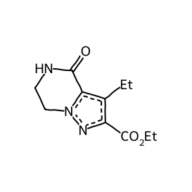 CCOC(=O)c1nn2c(c1CC)C(=O)NCC2